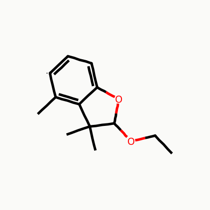 CCOC1Oc2cc[c]c(C)c2C1(C)C